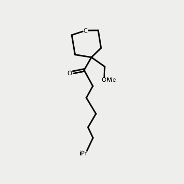 COCC1(C(=O)CCCCCC(C)C)CCCCC1